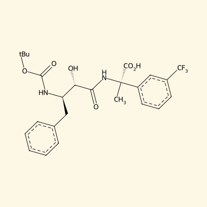 CC(C)(C)OC(=O)N[C@H](Cc1ccccc1)[C@H](O)C(=O)N[C@@](C)(C(=O)O)c1cccc(C(F)(F)F)c1